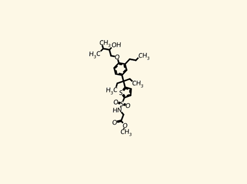 CCCc1cc(C(CC)(CC)c2ccc(S(=O)(=O)NCC(=O)OC)s2)ccc1OCC(O)C(C)C